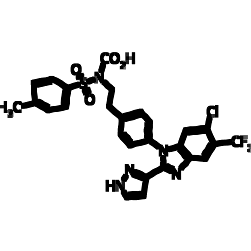 Cc1ccc(S(=O)(=O)N(CCc2ccc(-n3c(-c4cc[nH]n4)nc4cc(C(F)(F)F)c(Cl)cc43)cc2)C(=O)O)cc1